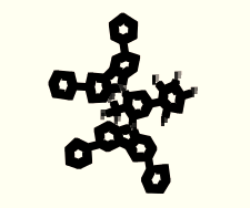 Fc1cc(F)c(-c2cc(-n3c4ccc(-c5ccccc5)cc4c4cc(-c5ccccc5)ccc43)c(C(F)(F)F)c(-n3c4ccc(-c5ccccc5)cc4c4cc(-c5ccccc5)ccc43)c2)c(F)c1F